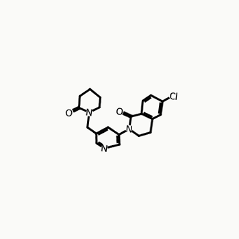 O=C1CCCCN1Cc1cncc(N2CCc3cc(Cl)ccc3C2=O)c1